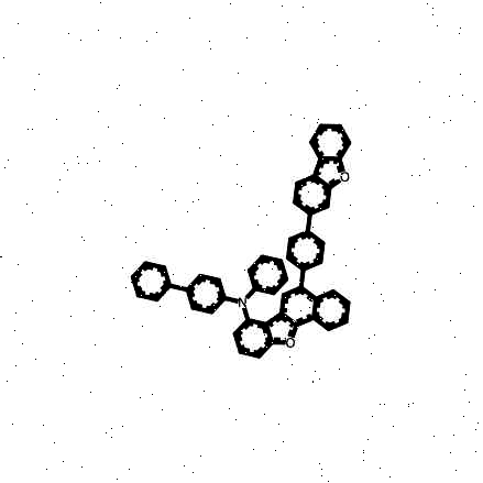 c1ccc(-c2ccc(N(c3ccccc3)c3cccc4oc5c6ccccc6c(-c6ccc(-c7ccc8c(c7)oc7ccccc78)cc6)cc5c34)cc2)cc1